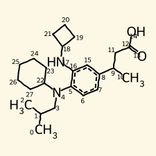 CC(C)CN(c1ccc(C(C)CC(=O)O)cc1NC1CCC1)C1CCCCC1